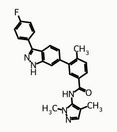 Cc1ccc(C(=O)Nc2c(C)cnn2C)cc1-c1ccc2c(-c3ccc(F)cc3)n[nH]c2c1